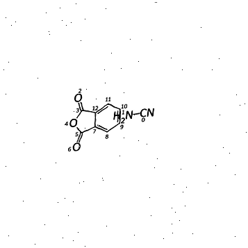 N#CN.O=C1OC(=O)c2ccccc21